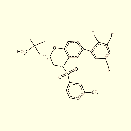 CC(C)(C[C@H]1CN(S(=O)(=O)c2cccc(C(F)(F)F)c2)c2cc(-c3cc(F)cc(F)c3F)ccc2O1)C(=O)O